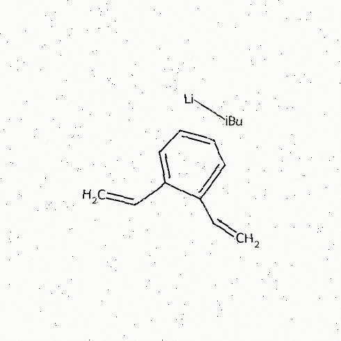 C=Cc1ccccc1C=C.[Li][CH](C)CC